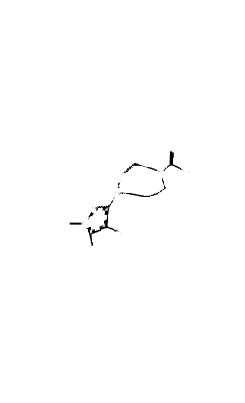 Cc1c(N)c(N2CCN(C(=O)O)CC2)nn1C